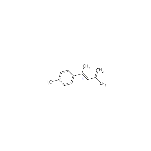 C=C(/C=C(\C)c1ccc(C)cc1)C(F)(F)F